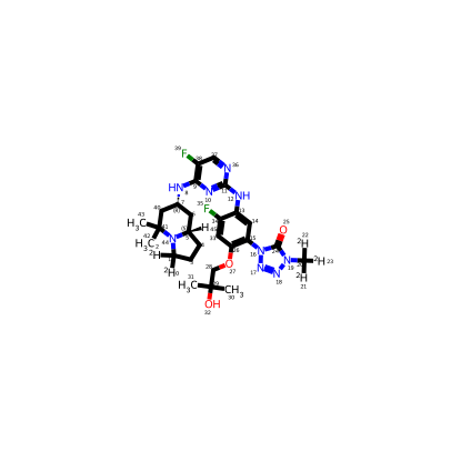 [2H]C1([2H])CC[C@H]2C[C@@H](Nc3nc(Nc4cc(-n5nnn(C([2H])([2H])[2H])c5=O)c(OCC(C)(C)O)cc4F)ncc3F)CC(C)(C)N21